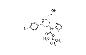 CC(C)(C)OC(=O)N(c1nccs1)[C@@H]1C[C@@H](CCO)O[C@H](c2ccc(Br)cc2)C1